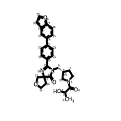 CC(O)C(=O)N1CC[C@@H](CN2C(=O)C3(CCOC3)N=C2c2ccc(-c3ccc4occc4c3)cc2)C1